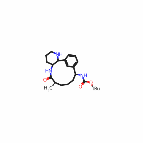 C[C@@H]1CCC[C@H](NC(=O)OC(C)(C)C)c2cccc(c2)C2NCCCC2NC1=O